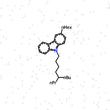 CCCCCCc1ccc2c(c1)c1ccccc1n2CCCCC(CCC)CCCC